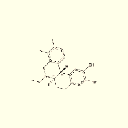 CCN1Cc2c(ccc(C)c2C)[C@@H]2c3cc(O)c(Br)cc3CC[C@H]21